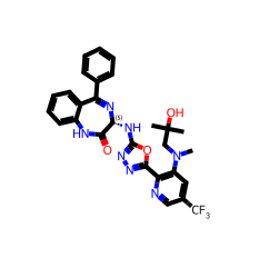 CN(CC(C)(C)O)c1cc(C(F)(F)F)cnc1-c1nnc(N[C@H]2N=C(c3ccccc3)c3ccccc3NC2=O)o1